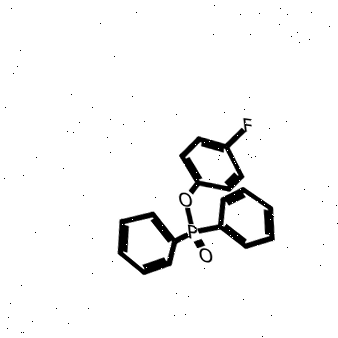 O=P(Oc1ccc(F)cc1)(c1ccccc1)c1ccccc1